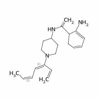 C=C/C(=C\C=C/C)N1CCC(NC(=C)C2CC=CC=C2N)CC1